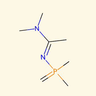 C=P(C)(C)/N=C(\C)N(C)C